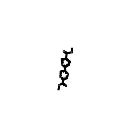 COC(=O)c1ccc(-c2cnc(C(=O)OC)cn2)nc1